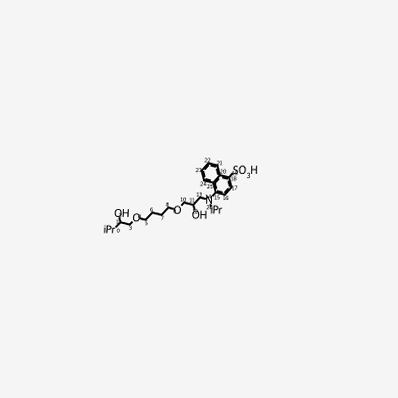 CC(C)C(O)COCCCCOCC(O)CN(c1ccc(S(=O)(=O)O)c2ccccc12)C(C)C